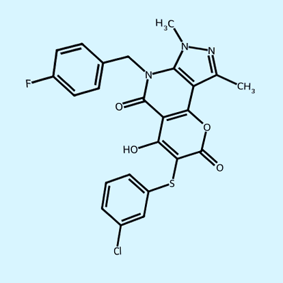 Cc1nn(C)c2c1c1oc(=O)c(Sc3cccc(Cl)c3)c(O)c1c(=O)n2Cc1ccc(F)cc1